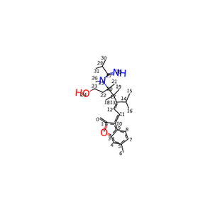 C=c1oc2cc(C)ccc2/c1=C/C=C(\C(C)C)C(C)(C)C(C)(CCO)N(C)C(=N)C(C)C